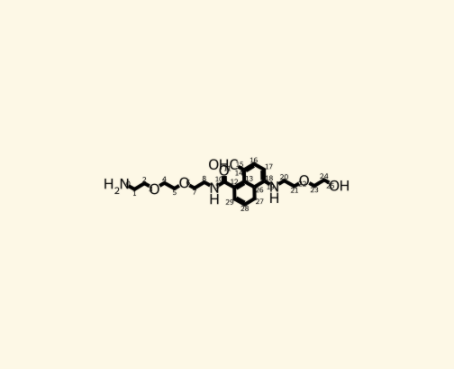 NCCOCCOCCNC(=O)C1=C2C(C=O)=CC=C(NCCOCCO)C2CC=C1